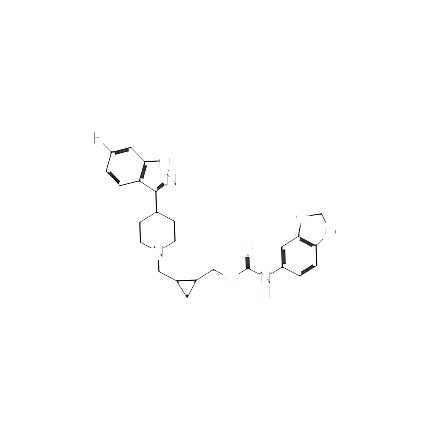 O=C(Nc1ccc2c(c1)OCO2)OCC1CC1CN1CCC(c2noc3cc(F)ccc23)CC1